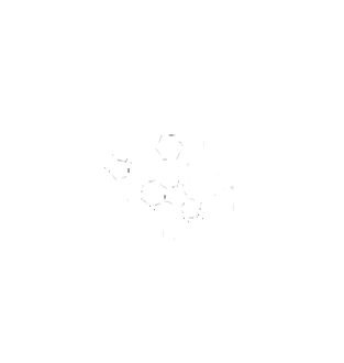 Cc1cc(F)cc(C)c1[C@H](C)n1c2cc(-c3c(C)nnn3C)cnc2c2c1c(C(C)(C)O)nn2C